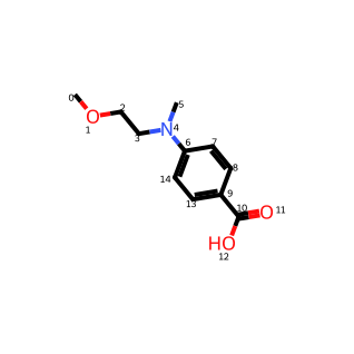 COCCN(C)c1ccc(C(=O)O)cc1